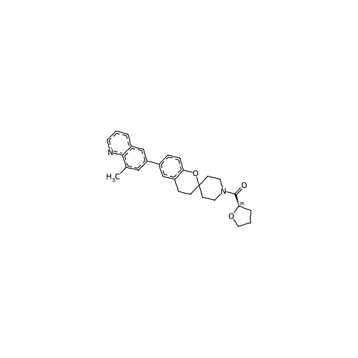 Cc1cc(-c2ccc3c(c2)CCC2(CCN(C(=O)[C@H]4CCCO4)CC2)O3)cc2cccnc12